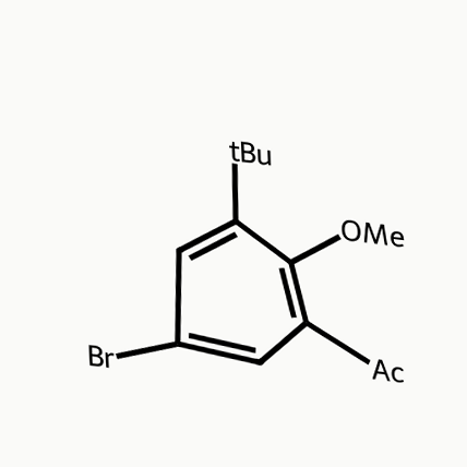 COc1c(C(C)=O)cc(Br)cc1C(C)(C)C